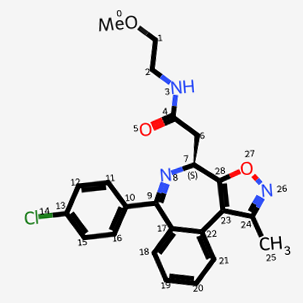 COCCNC(=O)C[C@@H]1N=C(c2ccc(Cl)cc2)c2ccccc2-c2c(C)noc21